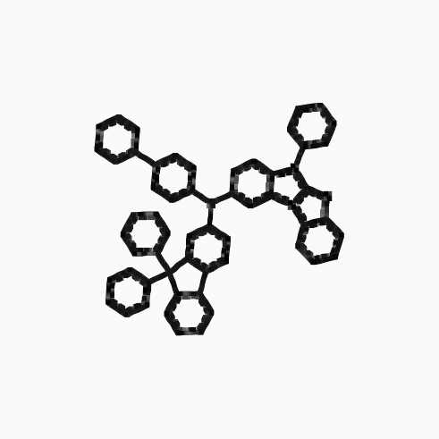 c1ccc(-c2ccc(N(c3ccc4c(c3)C(c3ccccc3)(c3ccccc3)c3ccccc3-4)c3ccc4c(c3)n3c5ccccc5nc3n4-c3ccccc3)cc2)cc1